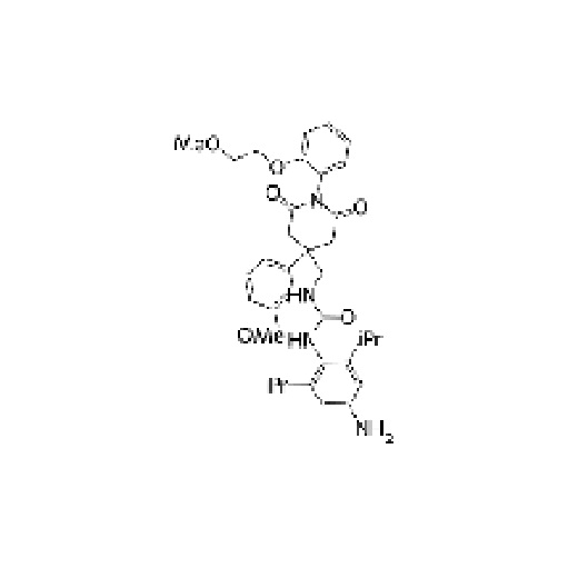 COCCOc1ccccc1N1C(=O)CC(CNC(=O)Nc2c(C(C)C)cc(N)cc2C(C)C)(c2cccc(OC)c2)CC1=O